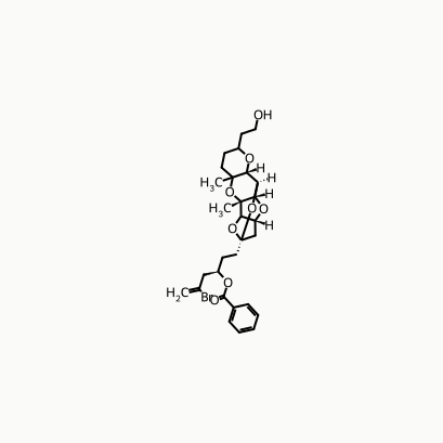 C=C(Br)C[C@@H](CC[C@@]12C[C@H]3O[C@H]4[C@@H](O1)[C@H]1OC(CCO)CCC1(C)O[C@@]4(C)C3O2)OC(=O)c1ccccc1